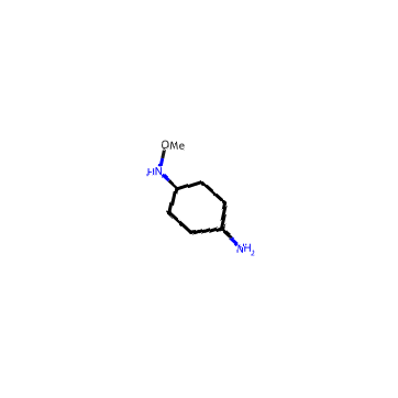 CONC1CCC(N)CC1